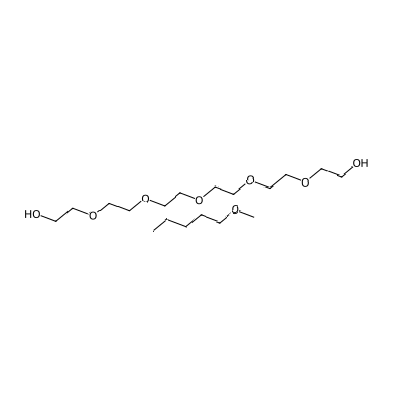 CCCCCOC.OCCOCCOCCOCCOCCOCCO